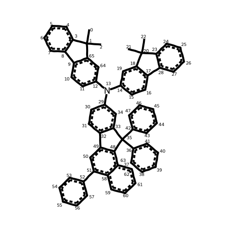 CC1(C)c2ccccc2-c2ccc(N(c3ccc4c(c3)C(C)(C)c3ccccc3-4)c3ccc4c(c3)C(c3ccccc3)(c3ccccc3)c3c-4cc(-c4ccccc4)c4ccccc34)cc21